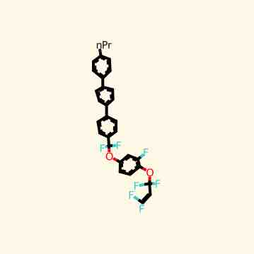 CCCc1ccc(-c2ccc(-c3ccc(C(F)(F)Oc4ccc(OC(F)(F)C=C(F)F)c(F)c4)cc3)cc2)cc1